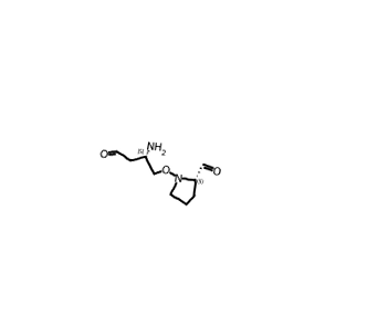 N[C@@H](CC=O)CON1CCC[C@H]1C=O